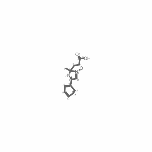 CC1(CCC(=O)O)N=C(c2ccccc2)C=[N+]1[O-]